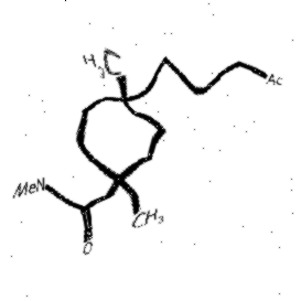 CNC(=O)C1(C)CCC(C)(CCCC(C)=O)CC1